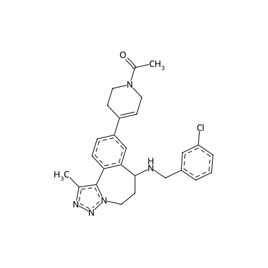 CC(=O)N1CC=C(c2ccc3c(c2)C(NCc2cccc(Cl)c2)CCn2nnc(C)c2-3)CC1